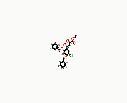 CCOC(=O)C(=O)CC(=O)c1cc(Cl)c(OCc2ccccc2)cc1OCc1ccccc1